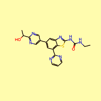 CCNC(=O)Nc1nc2cc(-c3cnc(C(C)O)nc3)cc(-c3ncccn3)c2s1